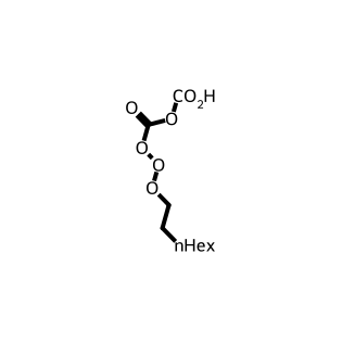 CCCCCCCCOOOC(=O)OC(=O)O